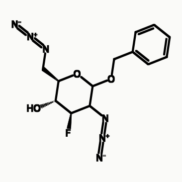 [N-]=[N+]=NC[C@H]1OC(OCc2ccccc2)C(N=[N+]=[N-])[C@@H](F)[C@@H]1O